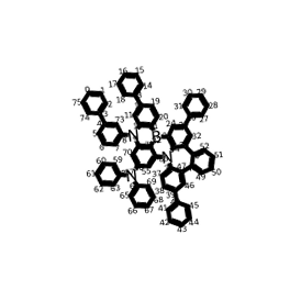 c1ccc(-c2cccc(N3c4cc(-c5ccccc5)ccc4B4c5cc(-c6ccccc6)cc6c5N(c5ccc(-c7ccccc7)cc5-c5ccccc5-6)c5cc(N(c6ccccc6)c6ccccc6)cc3c54)c2)cc1